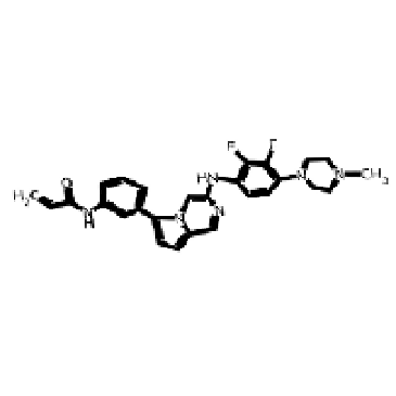 C=CC(=O)Nc1cccc(-c2ccc3cnc(Nc4ccc(N5CCN(C)CC5)c(F)c4F)cn23)c1